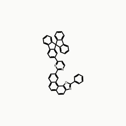 c1ccc(-c2nc3ccc4ccc5ccc(-c6nccc(-c7ccc8c(c7)C7(c9ccccc9-c9ccccc97)c7ccccc7-8)n6)cc5c4c3o2)cc1